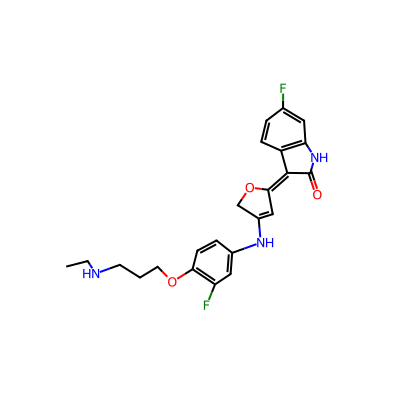 CCNCCCOc1ccc(NC2=C/C(=C3\C(=O)Nc4cc(F)ccc43)OC2)cc1F